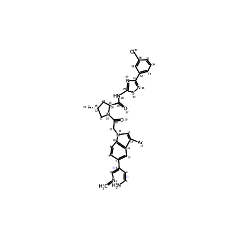 C=N/C=C(\C=C/N)c1ccc2c(c1)c(C(C)=O)cn2CC(=O)N1C[C@H](F)C[C@H]1C(=O)Nc1nc(-c2cccc(Cl)c2)ns1